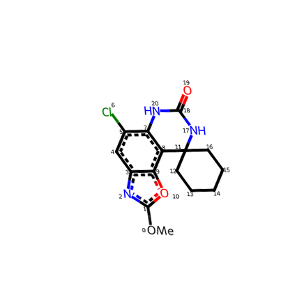 COc1nc2cc(Cl)c3c(c2o1)C1(CCCCC1)NC(=O)N3